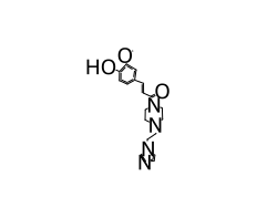 COc1cc(C=CC(=O)N2CCN(CCn3ccnc3)CC2)ccc1O